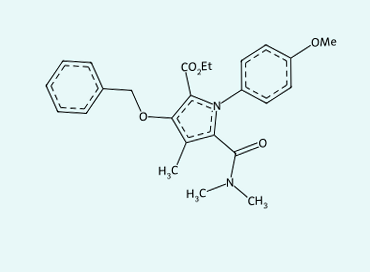 CCOC(=O)c1c(OCc2ccccc2)c(C)c(C(=O)N(C)C)n1-c1ccc(OC)cc1